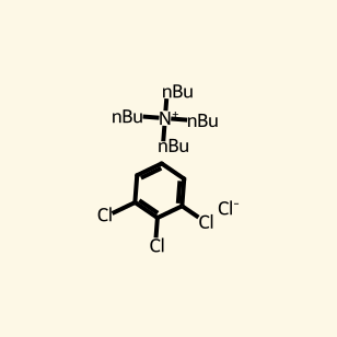 CCCC[N+](CCCC)(CCCC)CCCC.Clc1cccc(Cl)c1Cl.[Cl-]